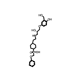 O=P(O)(COc1ccccc1)C1CCC(CCNC[C@H](O)COc2ccc(O)c(CO)c2)CC1